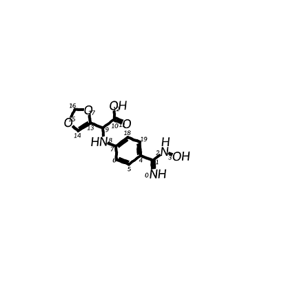 N=C(NO)c1ccc(NC(C(=O)O)C2=COCO2)cc1